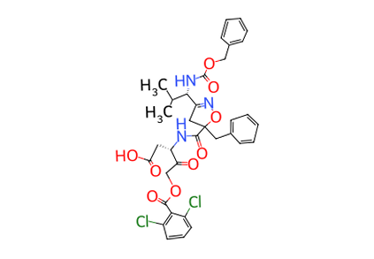 CC(C)[C@H](NC(=O)OCc1ccccc1)C1=NOC(Cc2ccccc2)(C(=O)N[C@@H](CC(=O)O)C(=O)COC(=O)c2c(Cl)cccc2Cl)C1